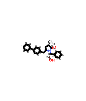 C[C@@H]1CC(Cc2ccc(-c3ccccc3)cc2)N([C@@H](CO)c2ccccc2)C1=O